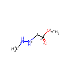 CNNCC(=O)OC